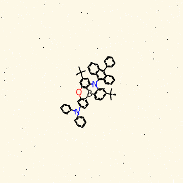 CC(C)(C)c1ccc2c(c1)N(c1c3ccccc3c(-c3ccccc3)c3ccccc13)c1cc(C(C)(C)C)cc3c1B2c1ccc(N(c2ccccc2)c2ccccc2)cc1O3